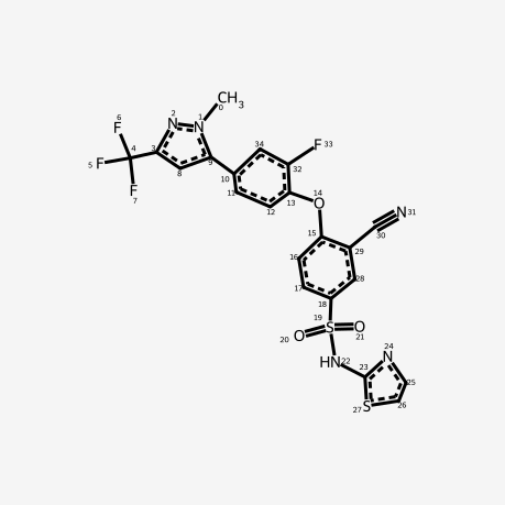 Cn1nc(C(F)(F)F)cc1-c1ccc(Oc2ccc(S(=O)(=O)Nc3nccs3)cc2C#N)c(F)c1